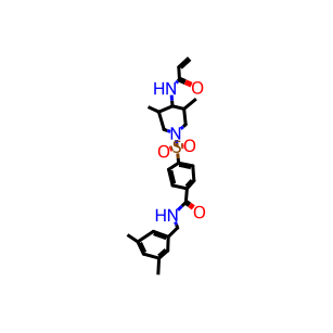 C=CC(=O)NC1C(C)CN(S(=O)(=O)c2ccc(C(=O)NCc3cc(C)cc(C)c3)cc2)CC1C